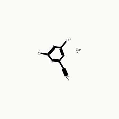 [C-]#Cc1cc(Cl)cc(Cl)c1.[Cu+]